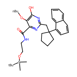 CCCCOc1c(O)nc(CC2(c3cccc4ccccc34)CCCC2)nc1C(=O)NCCO[Si](C)(C)C(C)(C)C